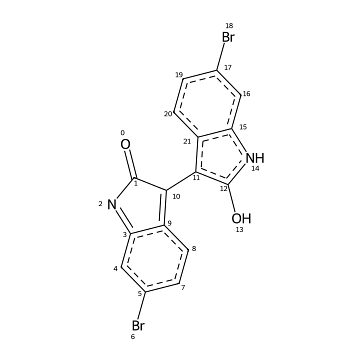 O=C1N=c2cc(Br)ccc2=C1c1c(O)[nH]c2cc(Br)ccc12